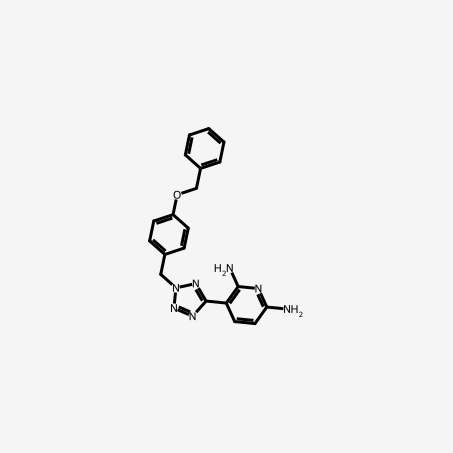 Nc1ccc(-c2nnn(Cc3ccc(OCc4ccccc4)cc3)n2)c(N)n1